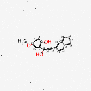 COc1ccc(O)c(C(O)C#Cc2ccc3ccccc3c2)c1